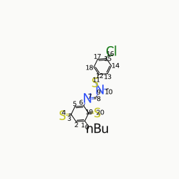 CCCCC1=CC(=S)C=C(N=CN(C)Sc2ccc(Cl)cc2)C1=S